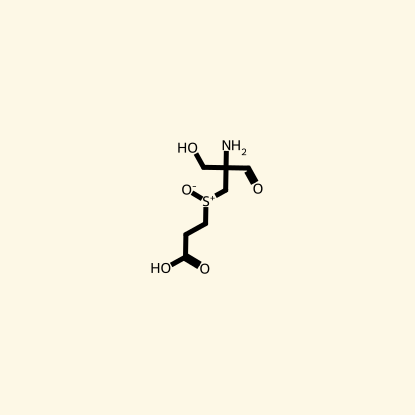 NC(C=O)(CO)C[S+]([O-])CCC(=O)O